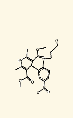 COC(=O)C1=C(C)NC(C)=C(C(=O)OC)C1c1cc([N+](=O)[O-])ccc1OCCCCl